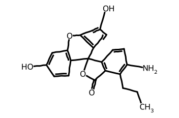 CCCc1c(N)ccc2c1C(=O)OC21c2ccc(O)cc2Oc2cc(O)ccc21